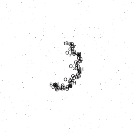 CCn1cc(CNC(=O)c2cccc(COC(=O)C(C)(C)CC(Br)C(=O)OCn3cc(CNC(=O)c4cccc(COC(=O)C(C)(C)CC(Br)C(=O)OCn5cc(CNC(=O)c6cccc(COC(=O)C(C)(C)CC(Br)C(=O)OCn7cc(CNC(=O)c8cccc(COC(=O)C(C)(C)CC(Br)C(=O)OC(C)(C)C)c8[N+](=O)[O-])nn7)c6[N+](=O)[O-])nn5)c4[N+](=O)[O-])nn3)c2[N+](=O)[O-])nn1